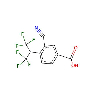 N#Cc1cc(C(=O)O)ccc1C(C(F)(F)F)C(F)(F)F